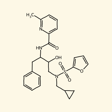 Cc1cccc(C(=O)NC(Cc2ccccc2)C(O)CN(CC2CC2)S(=O)(=O)c2ccco2)n1